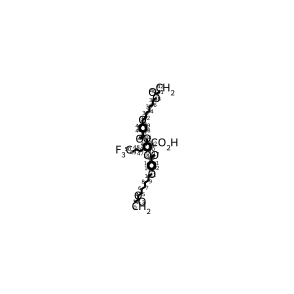 C=CC(=O)OCCCCCCOc1ccc(C(=O)Oc2cc(C(=O)O)c(OC(=O)c3ccc(OCCCCCCOC(=O)C=C)cc3)cc2CCCC(F)(F)F)cc1